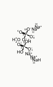 O.O=P([O-])(O)O.O=P([O-])([O-])[O-].[Na+].[Na+].[Na+].[Na+].[NaH]